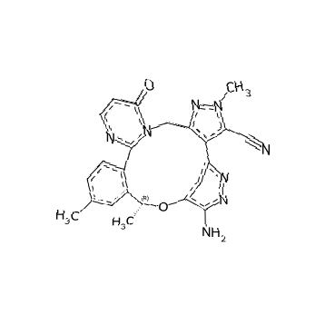 Cc1ccc2c(c1)[C@@H](C)Oc1cc(nnc1N)-c1c(nn(C)c1C#N)Cn1c-2nccc1=O